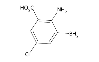 Bc1cc(Cl)cc(C(=O)O)c1N